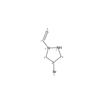 O=CN1CC(Br)CN1